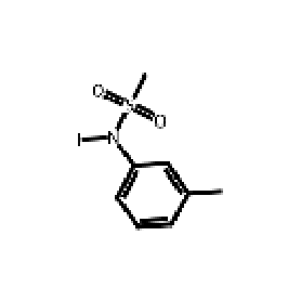 Cc1cccc(N(I)S(C)(=O)=O)c1